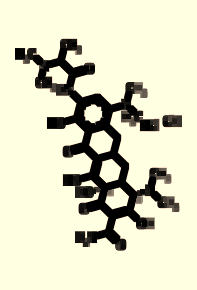 CC(C(=O)Nc1cc(N(C)C)c2c(c1O)C(=O)C1=C(O)[C@]3(O)C(=O)C(C(N)=O)=C(O)[C@@H](N(C)C)C3CC1C2)N(C)C.Cl.Cl